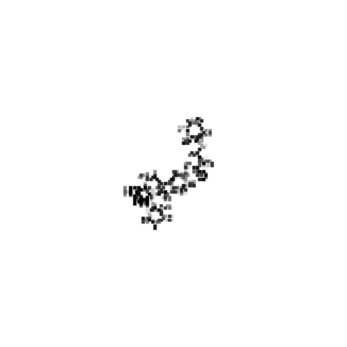 CC(=Cc1cn(Cc2ccccc2)c2ccc(CC(=O)N(C)CCc3ccccc3)cc12)c1nnn[nH]1